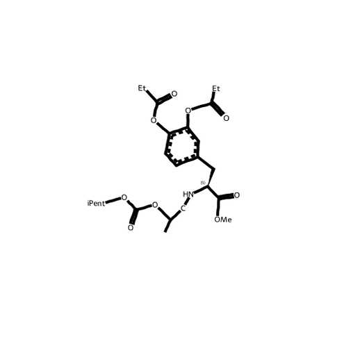 CCCC(C)OC(=O)OC(C)CN[C@@H](Cc1ccc(OC(=O)CC)c(OC(=O)CC)c1)C(=O)OC